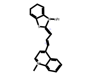 CCCN1C2=CCCC=C2S/C1=C\C=C\c1cc[n+](C)c2ccccc12